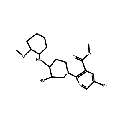 COC(=O)c1cc(Br)cnc1N1CCC(NC2CCCCC2OC)C(O)C1